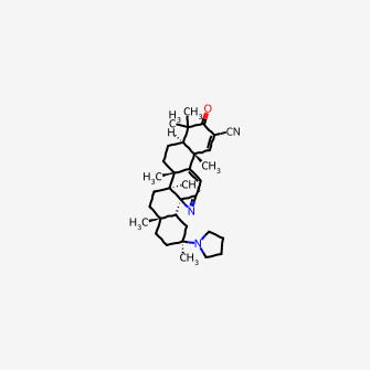 CC1(C)C(=O)C(C#N)=C[C@]2(C)C3=CC4=N[C@]45C4C[C@@](C)(N6CCCC6)CC[C@]4(C)CC[C@@]5(C)[C@]3(C)CC[C@@H]12